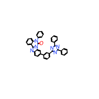 O=c1n(-c2ccccc2)c2ccccc2c2nc3ccc(-c4cccc(-c5nc(-c6ccccc6)nc(-c6ccccc6)n5)c4)cc3n12